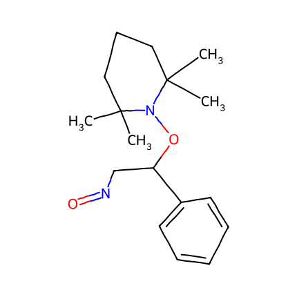 CC1(C)CCCC(C)(C)N1OC(CN=O)c1ccccc1